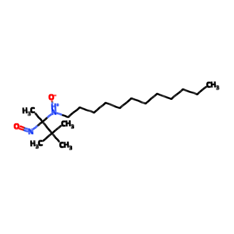 CCCCCCCCCCCC[NH+]([O-])C(C)(N=O)C(C)(C)C